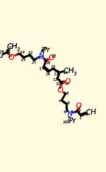 C=CC(=O)N(CCCCOC(=O)CC(C)C/C=C\C(=O)N(CCCCOC(=C)C(C)(C)C)C(C)C)C(C)C